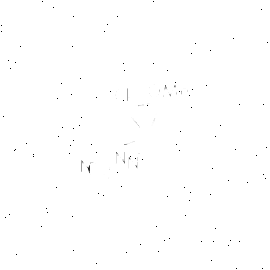 COc1ccc(-c2cnn(C3CN4CCC3CC4)c2)cc1Cl